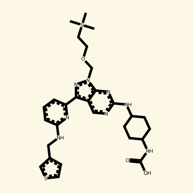 C[Si](C)(C)CCOCn1nc(-c2cccc(NCc3ccsc3)n2)c2cnc(NC3CCC(NC(=O)O)CC3)nc21